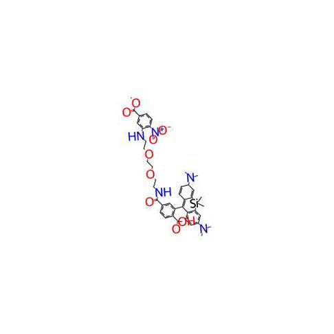 COC(=O)c1ccc([N+](=O)[O-])c(NCCOCCOCCNC(=O)c2ccc(C(=O)O)c(C3=C4C=CC(N(C)C)C=C4[Si](C)(C)c4cc(N(C)C)ccc43)c2)c1